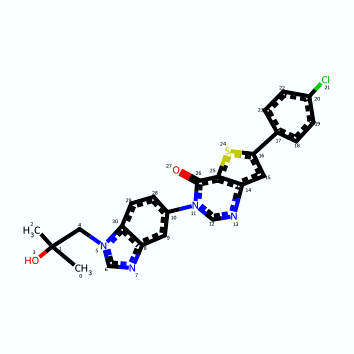 CC(C)(O)Cn1cnc2cc(-n3cnc4cc(-c5ccc(Cl)cc5)sc4c3=O)ccc21